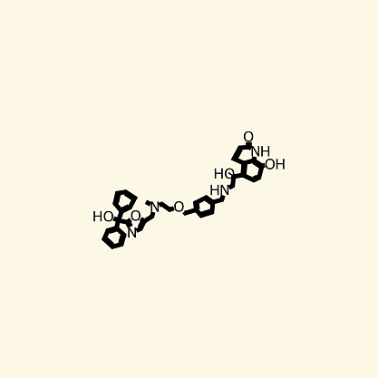 CN(CCOCc1ccc(CNC[C@H](O)c2ccc(O)c3[nH]c(=O)ccc23)cc1)Cc1cnc(C(O)(c2ccccc2)c2ccccc2)o1